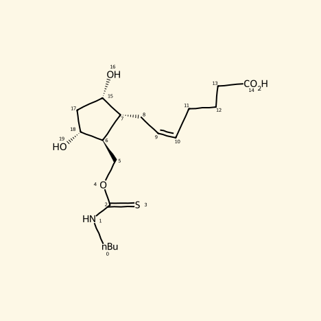 CCCCNC(=S)OC[C@@H]1[C@@H](C/C=C\CCCC(=O)O)[C@@H](O)C[C@H]1O